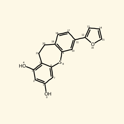 Oc1cc(O)c2c(c1)Sc1cc(-c3ccco3)ccc1CC2